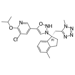 Cc1cccc2c1CC[C@]2(Cc1nnnn1C)N1C=C(c2cnc(OC(C)C)c(Cl)c2)ON1